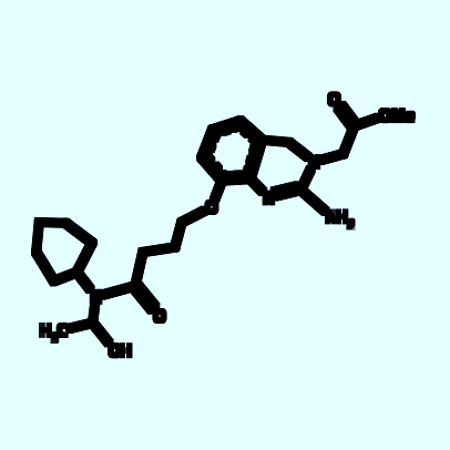 COC(=O)CN1Cc2cccc(OCCCC(=O)N(C(C)O)C3CCCCC3)c2N=C1N